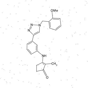 COc1ccccc1Cn1cc(-c2cccc(NC3=C(C)C(=O)CC3)c2)nn1